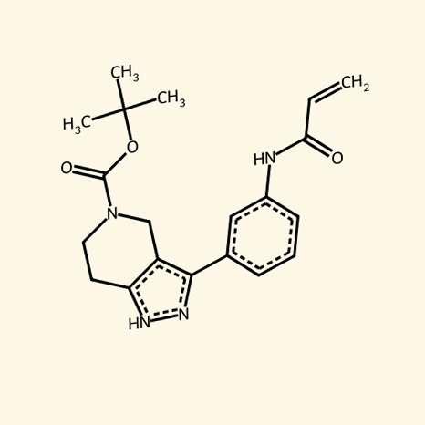 C=CC(=O)Nc1cccc(-c2n[nH]c3c2CN(C(=O)OC(C)(C)C)CC3)c1